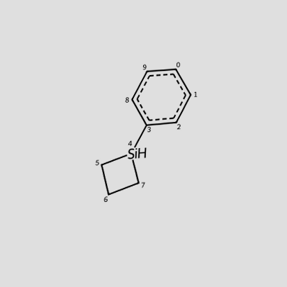 c1ccc([SiH]2CCC2)cc1